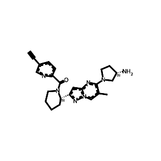 C#Cc1ccc(C(=O)N2CCCC[C@H]2c2cc3nc(N4CC[C@H](N)C4)c(C)cn3n2)nc1